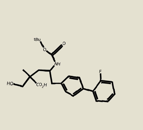 CC(C)(C)OC(=O)NC(Cc1ccc(-c2ccccc2F)cc1)CC(C)(CO)C(=O)O